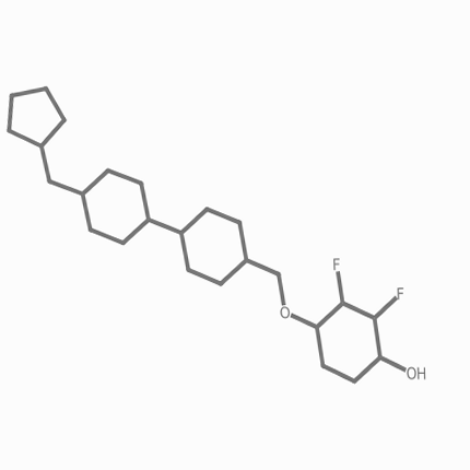 OC1CCC(OCC2CCC(C3CCC(CC4CCCC4)CC3)CC2)C(F)C1F